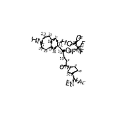 CCN(C(C)=O)C1CCN(C(=O)CCC(=O)c2ccc3c(c2)CCNCC3)C1.O=C(O)C(F)(F)F